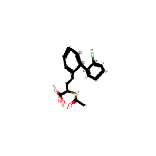 CC(=O)SC(CCc1ccccc1-c1ccccc1Cl)C(=O)O